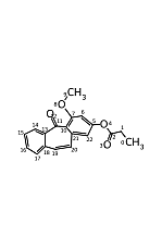 CCC(=O)Oc1cc(OC)c2c(=O)c3ccccc3ccc2c1